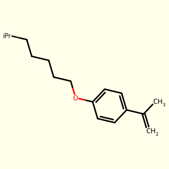 C=C(C)c1ccc(OCCCCCC(C)C)cc1